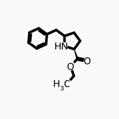 CCOC(=O)[C@@H]1CCC(Cc2ccccc2)N1